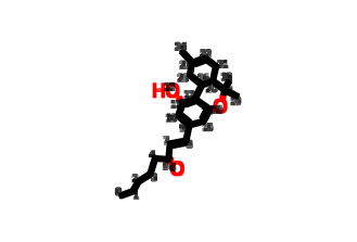 CCCCCC(=O)C=Cc1cc(O)c2c(c1)OC(C)(C)C1CC=C(C)CC21